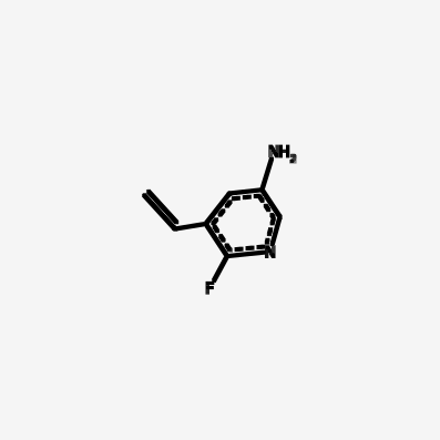 C=Cc1cc(N)cnc1F